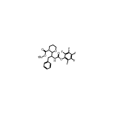 CC(C)(C)OC(=O)N1CCCOC1C(Cc1ccccc1)NC(=O)Oc1c(F)c(F)c(F)c(F)c1F